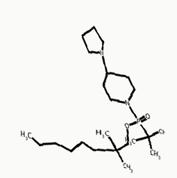 CCCCCCC(C)(C)COP(=O)(N1CCC(N2CCCC2)CC1)C(C)(C)C